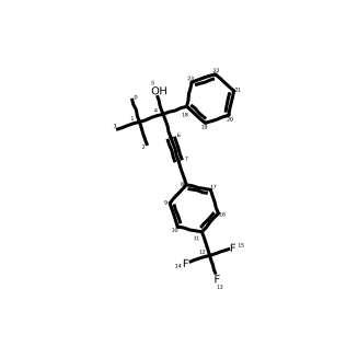 CC(C)(C)C(O)(C#Cc1ccc(C(F)(F)F)cc1)c1ccccc1